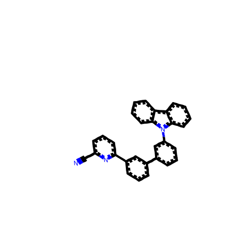 N#Cc1cccc(-c2cccc(-c3cccc(-n4c5ccccc5c5ccccc54)c3)c2)n1